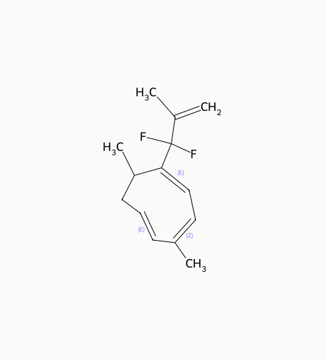 C=C(C)C(F)(F)/C1=C/C=C(C)\C=C\CC1C